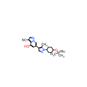 Cc1c(-c2cc(O)c3c(C#N)cnn3c2)cnn1C1CCC(O[Si](C)(C)C(C)(C)C)CC1